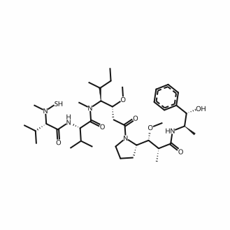 CCC(C)[C@@H]([C@@H](CC(=O)N1CCC[C@H]1[C@H](OC)[C@@H](C)C(=O)N[C@H](C)[C@@H](O)c1ccccc1)OC)N(C)C(=O)[C@@H](NC(=O)[C@H](C(C)C)N(C)S)C(C)C